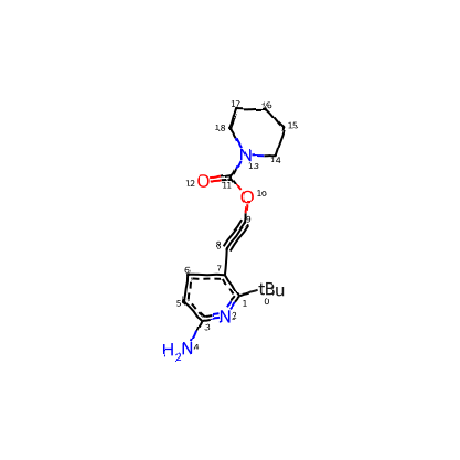 CC(C)(C)c1nc(N)ccc1C#COC(=O)N1CCCCC1